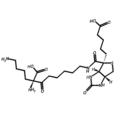 NCCCC[C@](N)(C(=O)O)C(=O)CCCCCNC(=O)[C@@]1(CCCCC(=O)O)SC[C@@H]2NC(=O)N[C@@H]21